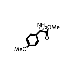 COC(=O)[C@@H](N)c1ccc(OC)cc1